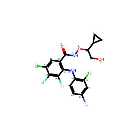 O=C(NOC(CO)C1CC1)c1cc(Cl)c(F)c(F)c1Nc1ccc(I)cc1Cl